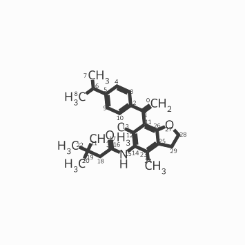 C=C(c1ccc(C(C)C)cc1)c1c(C)c(NC(=O)CC(C)(C)C)c(C)c2c1OCC2